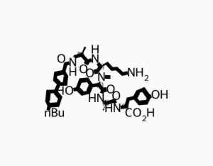 CCCCc1ccc(-c2ccc(C(=O)NC[C@@H](C)C(=O)N[C@@H](CCCCN)C(=O)N(C)[C@H](C(=O)N[C@@H](C)C(=O)N[C@@H](Cc3ccc(O)cc3)C(=O)O)c3ccc(O)cc3)cc2)cc1